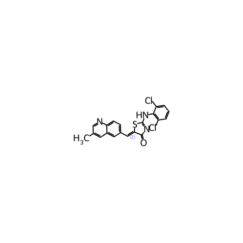 Cc1cnc2ccc(/C=C3\SC(Nc4c(Cl)cccc4Cl)=NC3=O)cc2c1